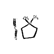 C[N+]1(C)CCCC1.[N-]=C=O